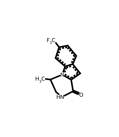 CC1CNC(=O)c2cc3ccc(C(F)(F)F)cc3n21